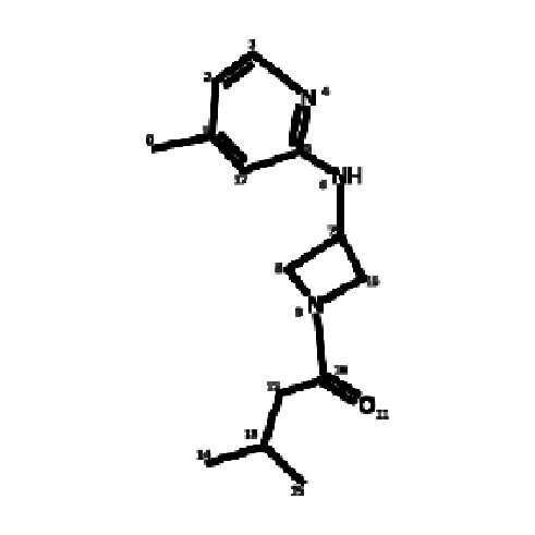 Cc1ccnc(NC2CN(C(=O)CC(C)C)C2)c1